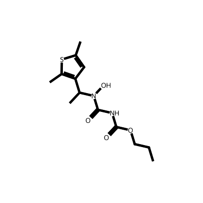 CCCOC(=O)NC(=O)N(O)C(C)c1cc(C)sc1C